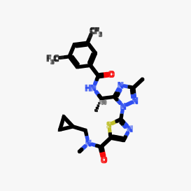 Cc1nc([C@H](C)NC(=O)c2cc(C(F)(F)F)cc(C(F)(F)F)c2)n(-c2ncc(C(=O)N(C)CC3CC3)s2)n1